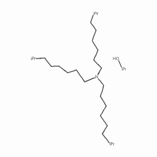 CC(C)CCCCCCN(CCCCCCC(C)C)CCCCCCC(C)C.CC(C)O